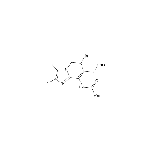 Cc1nc2c(NC(=O)C(C)(C)C)c(CC=O)c(Br)cn2c1C